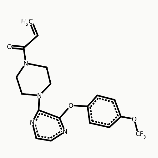 C=CC(=O)N1CCN(c2nccnc2Oc2ccc(OC(F)(F)F)cc2)CC1